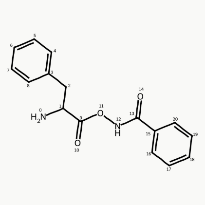 NC(Cc1ccccc1)C(=O)ONC(=O)c1ccccc1